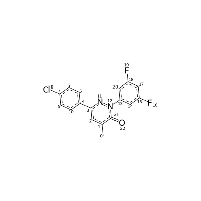 Cc1cc(-c2ccc(Cl)cc2)nn(-c2cc(F)cc(F)c2)c1=O